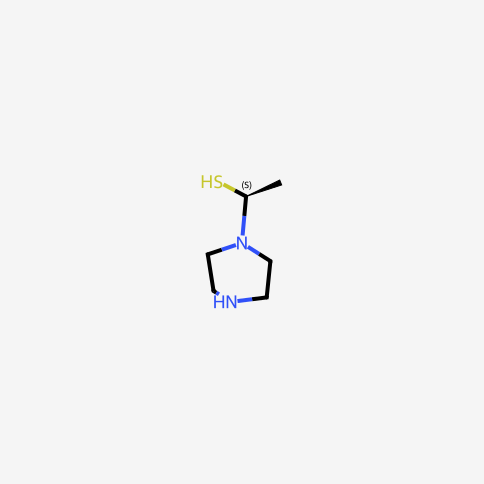 C[C@H](S)N1CCNCC1